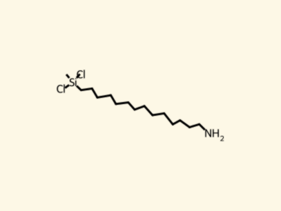 C[Si](Cl)(Cl)CCCCCCCCCCCCCCN